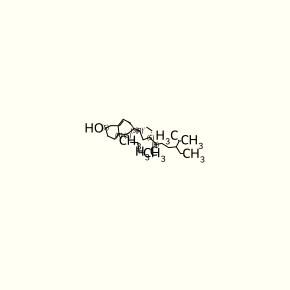 CCCC[C@H]1[C@H]([C@@H]2CC[C@H]([C@H](C)CCC(CC)C(C)C)C2)CC=C2C[C@@H](O)CC[C@@]21C